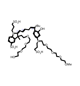 COCCOCCOCCOCCN(CCCS(=O)(=O)O)c1ccc(/C(=C\C/C=C/C=C2/N(CCCS(=O)(=O)O)c3ccc(S(=O)(=O)O)cc3C2(C)CCOCCOCCOCCO)C(C)(C)C)c(O)c1